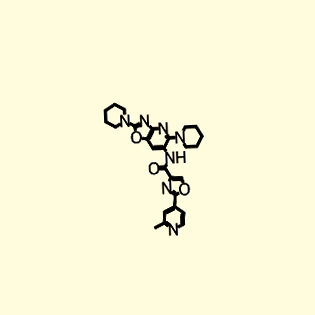 Cc1cc(-c2nc(C(=O)Nc3cc4oc(N5CCCCC5)nc4nc3N3CCCCC3)co2)ccn1